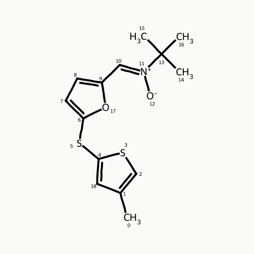 Cc1csc(Sc2ccc(C=[N+]([O-])C(C)(C)C)o2)c1